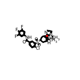 C[C@H]1CC2C[C@@H](S(=O)(=O)c3cc(C(=O)Nc4cc(F)c(F)c(F)c4)ccc3Cl)C[C@H]1[C@@]2(O)c1nccn1C